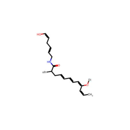 C\C=C/C(=C\C=C\C=C\CC(CCC)C(=O)NC/C=C/C/C=C\O)OCC